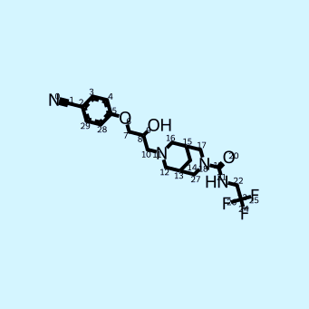 N#Cc1ccc(OCC(O)CN2CC3CC(C2)CN(C(=O)NCC(F)(F)F)C3)cc1